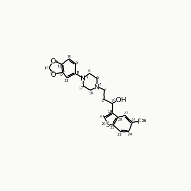 OC(CCN1CCN(c2ccc3c(c2)OCO3)CC1)c1csc2ccc(F)cc12